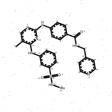 Cc1cnc(Nc2ccc(C(=O)NCc3ccncc3)cc2)nc1Nc1cccc(S(=O)(=O)NC(C)(C)C)c1